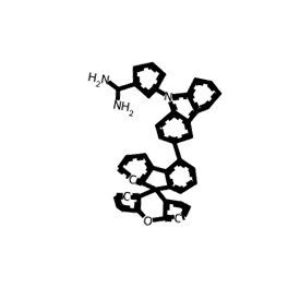 NC(N)c1cccc(-n2c3ccccc3c3cc(-c4cccc5c4-c4ccccc4C54c5ccccc5Oc5ccccc54)ccc32)c1